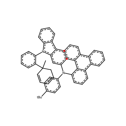 CC(C)(C)c1ccc(N(c2ccc3c4ccccc4n(-c4ccccc4C4(C)C=CC=CC4)c3c2)c2cccc3c4ccccc4c4ccccc4c23)cc1